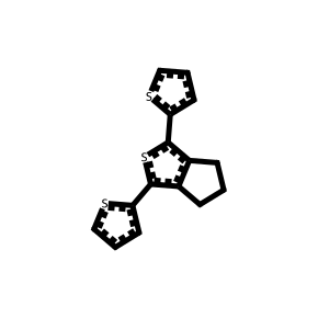 c1csc(-c2sc(-c3cccs3)c3c2CCC3)c1